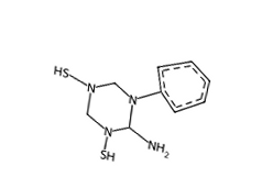 NC1N(S)CN(S)CN1c1ccccc1